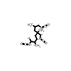 CC(CN=C=O)CC(C)(CCC(C)C(I)N=C=O)CN=C=O